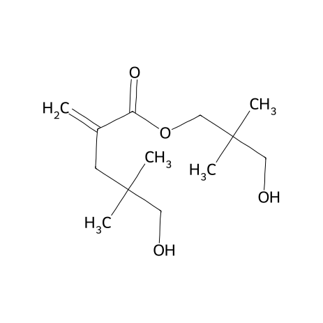 C=C(CC(C)(C)CO)C(=O)OCC(C)(C)CO